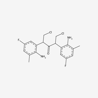 Cc1cc(F)cc(C(CCl)C(=O)C(CCl)c2cc(F)cc(C)c2N)c1N